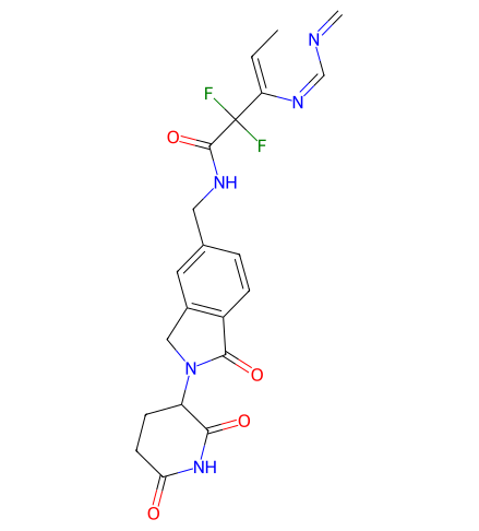 C=N/C=N\C(=C/C)C(F)(F)C(=O)NCc1ccc2c(c1)CN(C1CCC(=O)NC1=O)C2=O